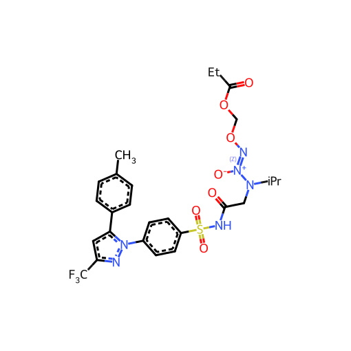 CCC(=O)OCO/N=[N+](\[O-])N(CC(=O)NS(=O)(=O)c1ccc(-n2nc(C(F)(F)F)cc2-c2ccc(C)cc2)cc1)C(C)C